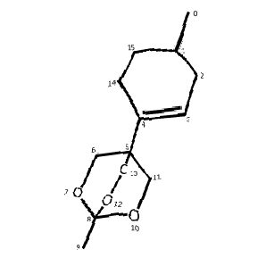 CC1CC=C(C23COC(C)(OC2)OC3)CC1